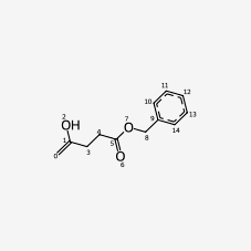 C=C(O)CCC(=O)OCc1ccccc1